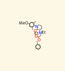 CC[N+](CC)(CC(=O)OCc1ccccc1)C1CCCN(c2c(C)cc(OC)cc2C)C1=O